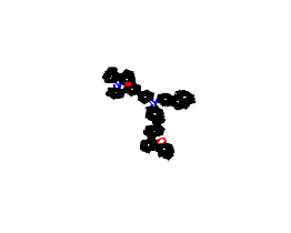 c1cc(-c2ccc(N(c3ccc(-c4ccc(-c5cccc6c5oc5ccccc56)cc4)cc3)c3ccc4c(ccc5ccccc54)c3)cc2)cc(-c2ccccc2-n2c3ccccc3c3ccccc32)c1